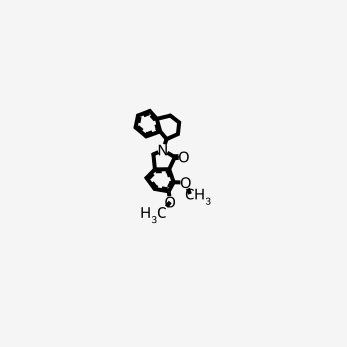 COc1ccc2c(c1OC)C(=O)N(C1CCCc3ccccc31)C2